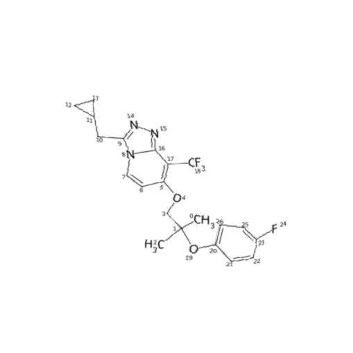 CC(C)(COc1ccn2c(CC3CC3)nnc2c1C(F)(F)F)Oc1ccc(F)cc1